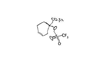 CCOC(=O)C1(OS(=O)(=O)C(F)(F)F)CC=CCC1